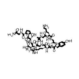 CC(=O)NCC(=O)N[C@@H](CCCCN)C(=O)NCC(=O)N[C@@H](Cc1ccc(O)cc1)C(=O)NCC(=O)N[C@@H](CCCNC(=N)N)C(=O)NCC(=O)N[C@@H](CC(=O)O)C(=O)N[C@@H](CO)C(=O)N1CCC[C@H]1C(=O)NCC(N)=O